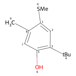 CSc1cc(C(C)(C)C)c(O)cc1C